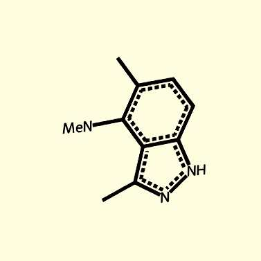 CNc1c(C)ccc2[nH]nc(C)c12